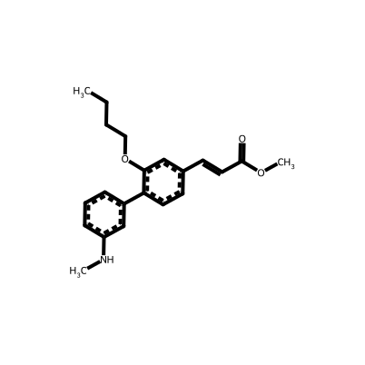 CCCCOc1cc(/C=C/C(=O)OC)ccc1-c1cccc(NC)c1